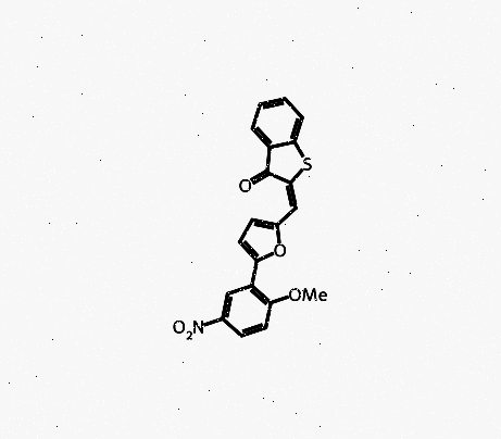 COc1ccc([N+](=O)[O-])cc1-c1ccc(C=C2Sc3ccccc3C2=O)o1